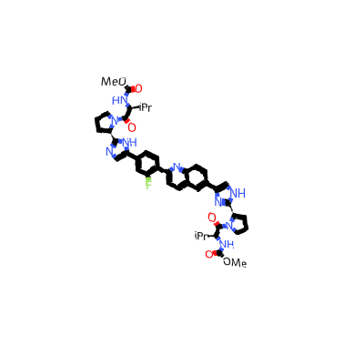 COC(=O)N[C@H](C(=O)N1CCC[C@H]1c1nc(-c2ccc3nc(-c4ccc(-c5cnc([C@@H]6CCCN6C(=O)[C@@H](NC(=O)OC)C(C)C)[nH]5)cc4F)ccc3c2)c[nH]1)C(C)C